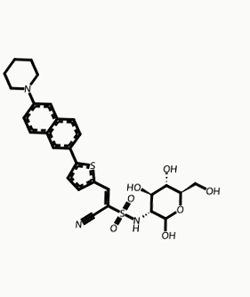 N#C/C(=C\c1ccc(-c2ccc3cc(N4CCCCC4)ccc3c2)s1)S(=O)(=O)N[C@H]1C(O)O[C@H](CO)[C@@H](O)[C@@H]1O